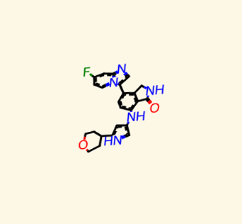 O=C1NCc2c(-c3cnc4cc(F)ccn34)ccc(Nc3c[nH]c(C4CCOCC4)c3)c21